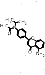 CC(=O)N(c1ccc(-c2cc(=O)c3c(N)cccc3o2)cc1)C(C)C